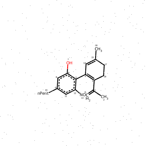 C=C(C)C1=C(c2c(O)cc(CCCCC)cc2N=O)C=C(C)CC1